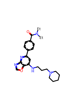 CCN(CC)C(=O)c1ccc(-c2cc(NCCCN3CCCCC3)c3ocnc3n2)cc1